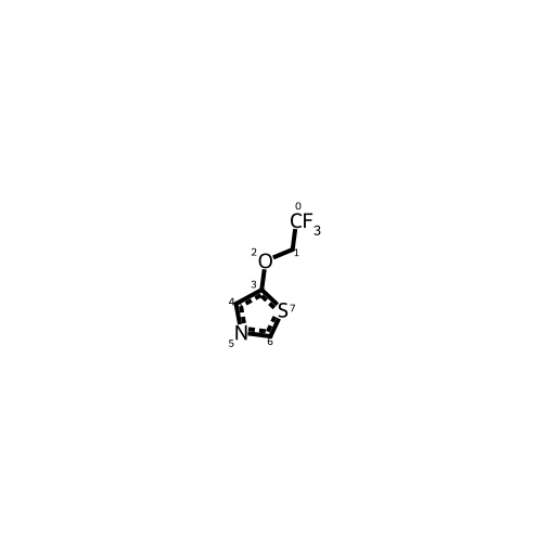 FC(F)(F)COc1cncs1